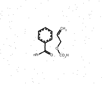 C=CCOC(=O)O.CCCC(=O)c1ccccc1